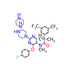 C1CNCCN1.CN(C(=O)C(C)(C)c1cc(C(F)(F)F)cc(C(F)(F)F)c1)c1cnc(N2CCNCC2)nc1Oc1ccc(F)cc1